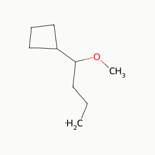 [CH2]CCC(OC)C1CCC1